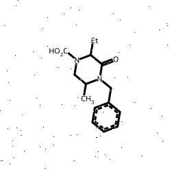 CCC1C(=O)N(Cc2ccccc2)C(C)CN1C(=O)O